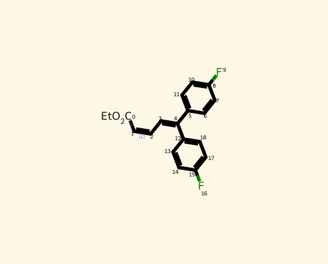 CCOC(=O)/C=C\C=C(c1ccc(F)cc1)c1ccc(F)cc1